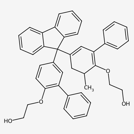 CC1CC(C2(c3ccc(OCCO)c(-c4ccccc4)c3)c3ccccc3-c3ccccc32)=CC(c2ccccc2)=C1OCCO